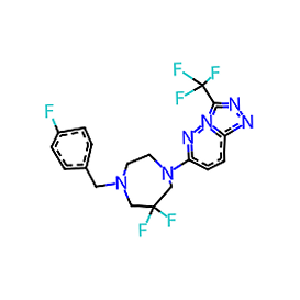 Fc1ccc(CN2CCN(c3ccc4nnc(C(F)(F)F)n4n3)CC(F)(F)C2)cc1